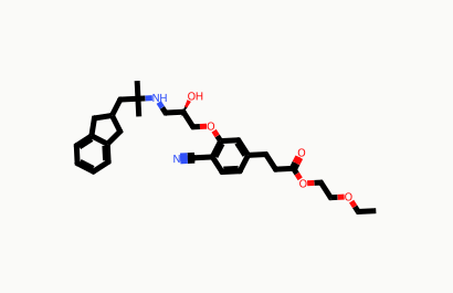 CCOCCOC(=O)CCc1ccc(C#N)c(OC[C@H](O)CNC(C)(C)CC2Cc3ccccc3C2)c1